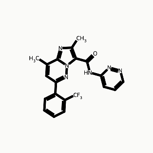 Cc1nc2c(C)cc(-c3ccccc3C(F)(F)F)nn2c1C(=O)Nc1cccnn1